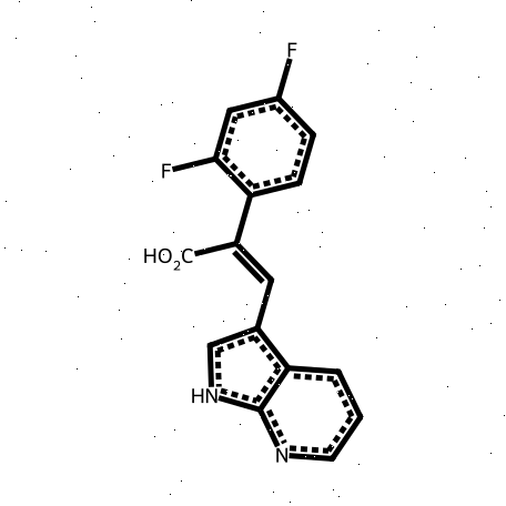 O=C(O)/C(=C\c1c[nH]c2ncccc12)c1ccc(F)cc1F